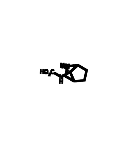 O=C(O)N[C@@H]1C2CCC1NC2